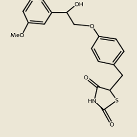 COc1cccc(C(O)COc2ccc(CC3SC(=O)NC3=O)cc2)c1